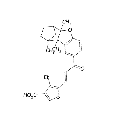 CCc1c(C(=O)O)csc1C=CC(=O)c1ccc2c(c1)C1(C)C3(C)CCC(C3)C1(C)O2